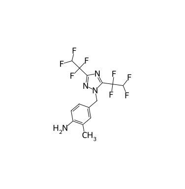 Cc1cc(Cn2nc(C(F)(F)C(F)F)nc2C(F)(F)C(F)F)ccc1N